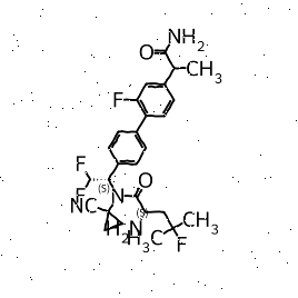 CC(C(N)=O)c1ccc(-c2ccc([C@@H](C(F)F)N(C(=O)[C@@H](N)CC(C)(C)F)C3(C#N)CC3)cc2)c(F)c1